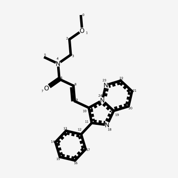 COCCN(C)C(=O)/C=C/c1c(-c2ccccc2)nc2cccnn12